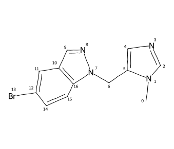 Cn1cncc1Cn1ncc2cc(Br)ccc21